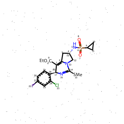 CCOC(=O)C1=C2C[C@H](NS(=O)(=O)C3CC3)CN2C(SC)=N[C@H]1c1ccc(I)cc1Cl